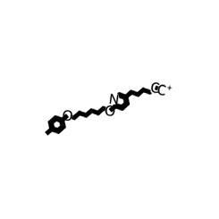 [CH2+][CH-]CCCCc1ccc(OCCCCCCOc2ccc(C)cc2)nc1